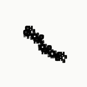 C/C=C\C(=C/CC)c1ccc(C(=O)NCc2cccc(C(=O)NC3CCC(N(C)C)CC3)c2)cc1